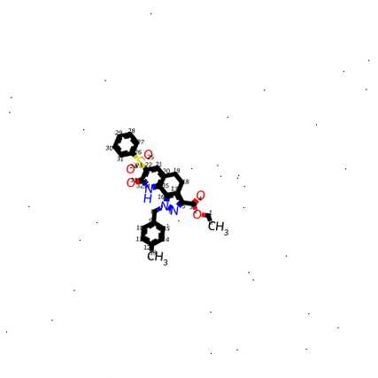 CCOC(=O)c1nn(Cc2ccc(C)cc2)c2c1CCc1cc(S(=O)(=O)c3ccccc3)c(=O)[nH]c1-2